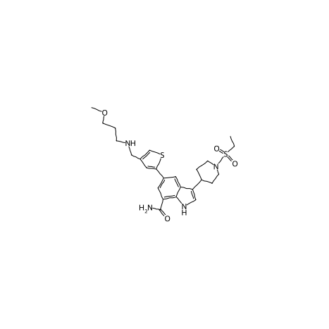 CCS(=O)(=O)N1CCC(c2c[nH]c3c(C(N)=O)cc(-c4cc(CNCCCOC)cs4)cc23)CC1